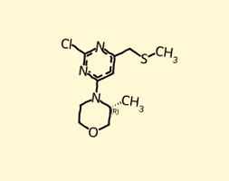 CSCc1cc(N2CCOC[C@H]2C)nc(Cl)n1